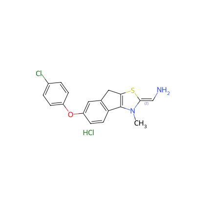 CN1C2=C(Cc3cc(Oc4ccc(Cl)cc4)ccc32)S/C1=C\N.Cl